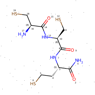 NC(=O)[C@H](CCS)NC(=O)[C@H](CS)NC(=O)[C@@H](N)CS